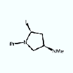 CN[C@@H]1C[C@H](I)N(C(C)C)C1